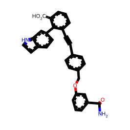 NC(=O)c1cccc(OCc2ccc(C#Cc3cccc(C(=O)O)c3-c3ccc4cc[nH]c4c3)cc2)c1